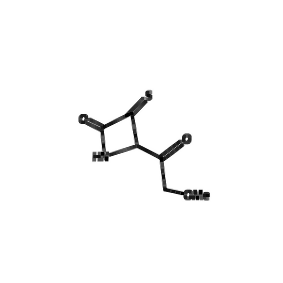 COCC(=O)C1NC(=O)C1=S